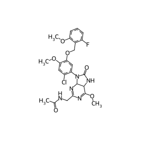 COC1=NC(CNC(C)=O)=NC2C1NC(=O)N2c1cc(OCc2c(F)cccc2OC)c(OC)cc1Cl